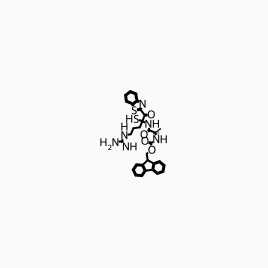 C[C@@H](NC(=O)OCC1c2ccccc2-c2ccccc21)C(=O)NC(S)(CCCNC(=N)N)C(=O)c1nc2ccccc2s1